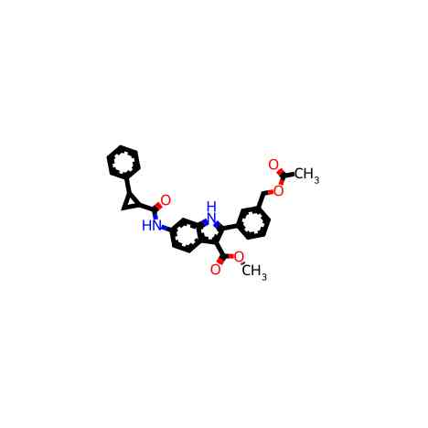 COC(=O)c1c(-c2cccc(COC(C)=O)c2)[nH]c2cc(NC(=O)C3CC3c3ccccc3)ccc12